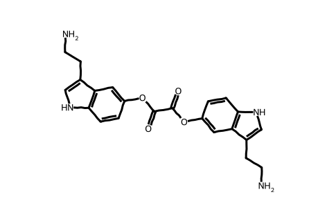 NCCc1c[nH]c2ccc(OC(=O)C(=O)Oc3ccc4[nH]cc(CCN)c4c3)cc12